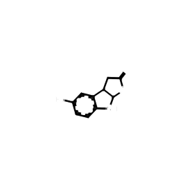 O=C1CC2c3cc(O)ccc3NC2O1